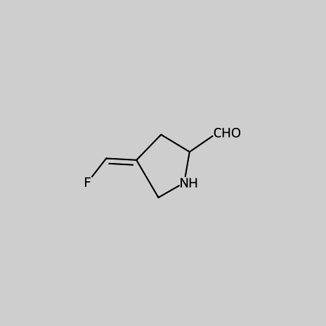 O=CC1C/C(=C/F)CN1